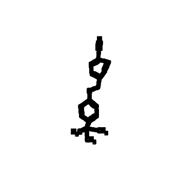 CC(C)(C)c1ccc(OCc2ccc(C#N)cc2)cc1